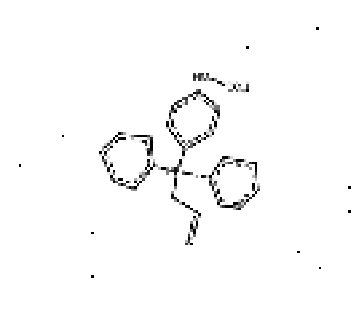 C=CC[PH](c1ccccc1)(c1ccccc1)c1ccccc1.O=C(O)O